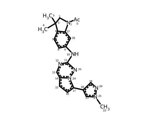 CC(=O)N1CC(C)(C)c2ccc(Nc3ncc4ccc(-c5cnn(C)c5)n4n3)cc21